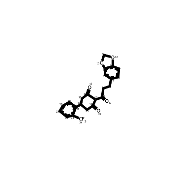 O=C(CCc1ccc2c(c1)OCO2)C1C(=O)CC(c2ccccc2C(F)(F)F)CC1=O